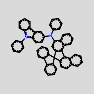 c1ccc(N(c2ccc3c(c2)c2ccccc2n3-c2ccccc2)c2cc3c(c4ccccc24)-c2c(ccc4ccccc24)C32c3ccccc3-c3ccccc32)cc1